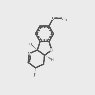 F[C@@H]1C=N[C@H]2c3ccc(OC(F)(F)F)cc3O[C@H]2C1